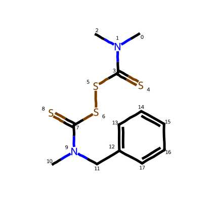 CN(C)C(=S)SSC(=S)N(C)Cc1ccccc1